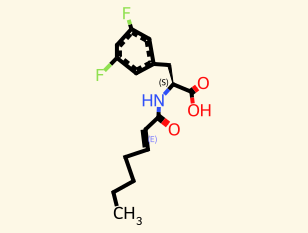 CCCC/C=C/C(=O)N[C@@H](Cc1cc(F)cc(F)c1)C(=O)O